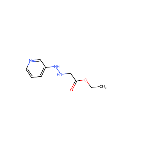 CCOC(=O)CNNc1cccnc1